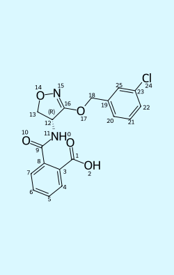 O=C(O)c1ccccc1C(=O)N[C@@H]1CON=C1OCc1cccc(Cl)c1